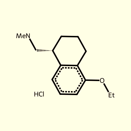 CCOc1cccc2c1CCC[C@H]2CNC.Cl